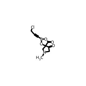 CN1CC(=O)C2(C1)OB(C#CCCl)OC2=O